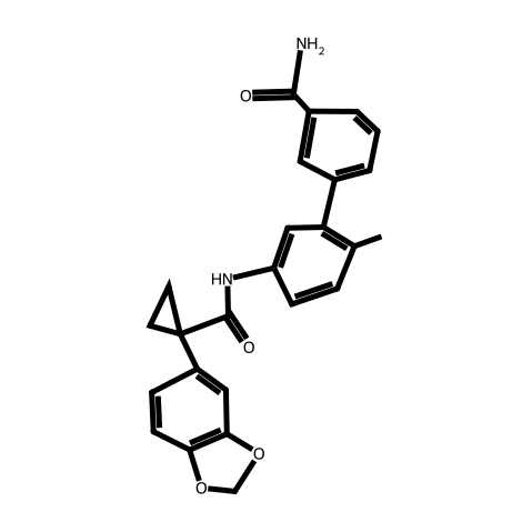 Cc1ccc(NC(=O)C2(c3ccc4c(c3)OCO4)CC2)cc1-c1cccc(C(N)=O)c1